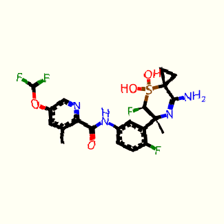 Cc1cc(OC(F)F)cnc1C(=O)Nc1ccc(F)c([C@@]2(C)N=C(N)C3(CC3)S(O)(O)[C@@H]2F)c1